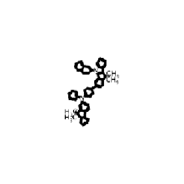 CC1(C)c2ccccc2-c2ccc(N(c3ccccc3)c3ccc(-c4ccc5c(c4)-c4c(c6ccccc6n4-c4ccc6ccccc6c4)C5(C)C)cc3)cc21